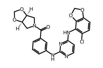 O=C(c1cccc(Nc2nccc(Nc3c(Cl)ccc4c3OCO4)n2)c1)N1C[C@@H]2OCO[C@@H]2C1